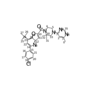 Cc1cc(N2CCN(C(=O)c3cc4nc(-c5ccc(Cl)cc5)cc(C(C)(C)C)c4o3)C(C)(C)C2)ncn1